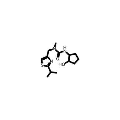 CC(C)c1nc(CN(C)C(=O)NC2CCCC2O)cs1